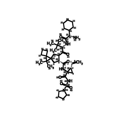 C=C[C@@H]1C[C@]1(NC(=O)[C@@H]1C[C@@]2(CC1C(=O)[C@@H](NC(=O)[C@@H](N)C1CCCCC1)C(C)(C)C)C(C)(C)C21CCC1)C(=O)NS(=O)(=O)N1CCCC1